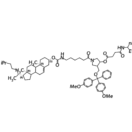 CCCC(CC)NC(=O)CCC(=O)OC1CN(C(=O)CCCCCNC(=O)O[C@H]2CC[C@@]3(C)C(=CCC4C3CC[C@@]3(C)C4CC[C@@H]3C(C)CCCC(C)C)C2)CC1COC(c1ccccc1)(c1ccc(OC)cc1)c1ccc(OC)cc1